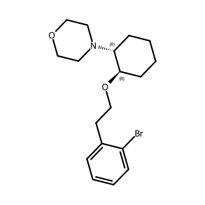 Brc1ccccc1CCO[C@@H]1CCCC[C@H]1N1CCOCC1